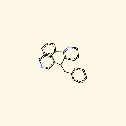 c1ccc(CC(c2cccnc2)c2cccnc2-c2ccccc2)cc1